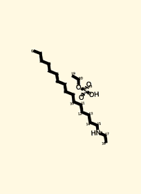 CCCCCCCCCCCCCCCCNCC.CCOS(=O)(=O)O